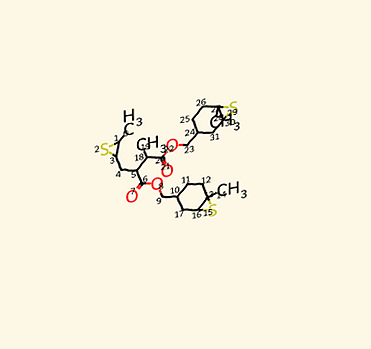 CC1SC1CC(C(=O)OCC1CCC2(C)SC2C1)C(C)C(=O)OCC1CCC2(C)SC2C1